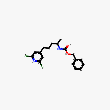 CC(CCCc1cc(Cl)nc(Cl)c1)NC(=O)OCc1ccccc1